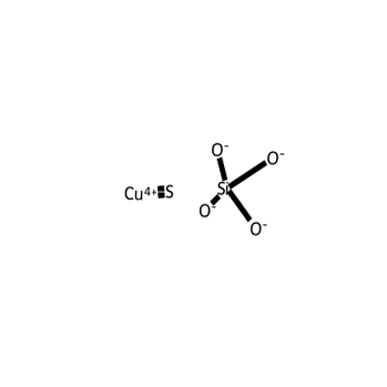 [O-][Si]([O-])([O-])[O-].[S]=[Cu+4]